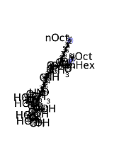 CCCCCCCC/C=C\CCCCCCCC(=O)O[C@H](COC(=O)C(/C=C/CCCCCCCC)CCCCCC)COP(C)(=O)OCCNC(=O)CCCCC(=O)NCCCO[C@@H]1OC(CO)[C@H](O)[C@H](O[C@H]2OC(CO)[C@H](O)[C@H](O)C2O)C1O[C@@H]1OC(C)[C@@H](O)[C@H](O)C1O